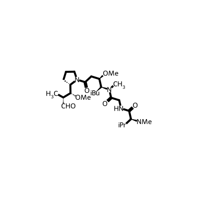 CC[C@H](C)[C@@H]([C@@H](CC(=O)N1CCC[C@H]1[C@H](OC)[C@@H](C)C=O)OC)N(C)C(=O)CNC(=O)[C@@H](NC)C(C)C